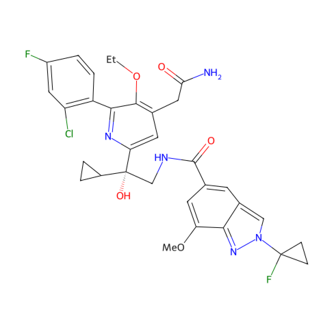 CCOc1c(CC(N)=O)cc([C@@](O)(CNC(=O)c2cc(OC)c3nn(C4(F)CC4)cc3c2)C2CC2)nc1-c1ccc(F)cc1Cl